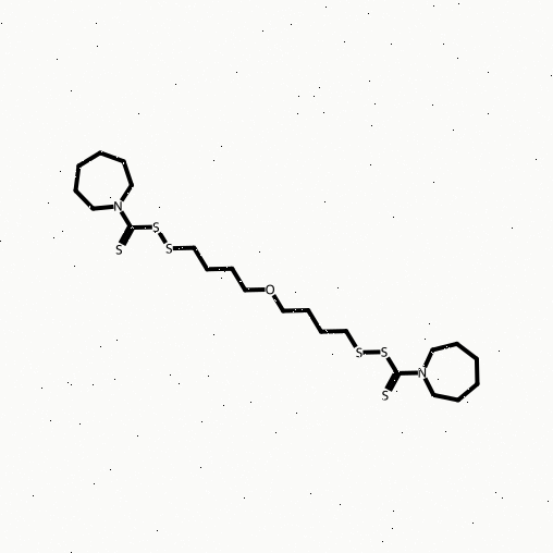 S=C(SSCCCCOCCCCSSC(=S)N1CCCCCC1)N1CCCCCC1